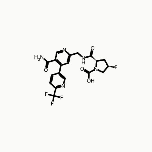 NC(=O)c1cnc(CNC(=O)[C@H]2C[C@@H](F)CN2C(=O)O)cc1-c1ccc(C(F)(F)F)nc1